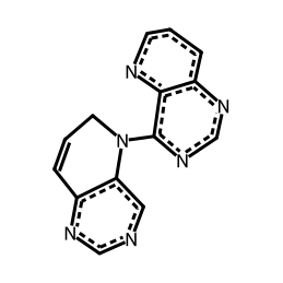 C1=Cc2ncncc2N(c2ncnc3cccnc23)C1